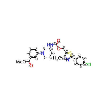 COC(=O)c1cccc(N2CCCC(NC(=O)OCc3sc(-c4ccc(Cl)cc4)nc3C)C2)c1